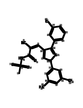 CS(=O)(=O)NC(=O)C(C#N)=Cc1cn(-c2cc(C(F)(F)F)cc(C(F)(F)F)c2)nc1-c1cccc(Cl)c1